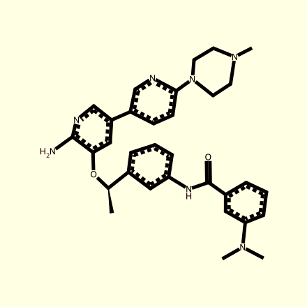 C[C@@H](Oc1cc(-c2ccc(N3CCN(C)CC3)nc2)cnc1N)c1cccc(NC(=O)c2cccc(N(C)C)c2)c1